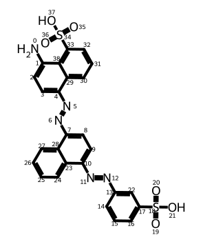 Nc1ccc(/N=N/c2ccc(/N=N/c3cccc(S(=O)(=O)O)c3)c3ccccc23)c2cccc(S(=O)(=O)O)c12